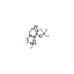 CN/C=C\N(CC#N)NC(=O)OC(C)(C)C